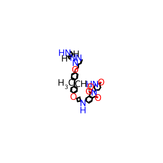 CC(C)(c1ccc(OCc2ccnc(N3C[C@@H]4C[C@H]3CN4)n2)cc1)c1ccc(O[C@H]2C[C@@H](Nc3ccc4c(c3)C(=O)N(C3CCC(=O)NC3=O)C4=O)C2)cc1